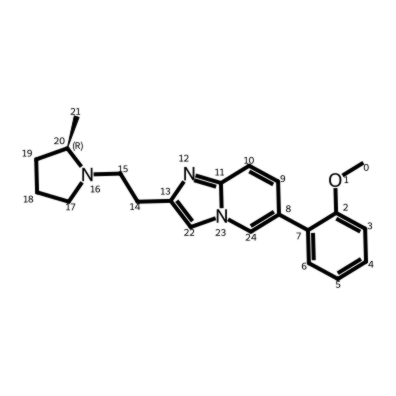 COc1ccccc1-c1ccc2nc(CCN3CCC[C@H]3C)cn2c1